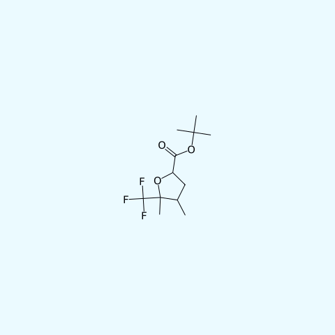 CC1CC(C(=O)OC(C)(C)C)OC1(C)C(F)(F)F